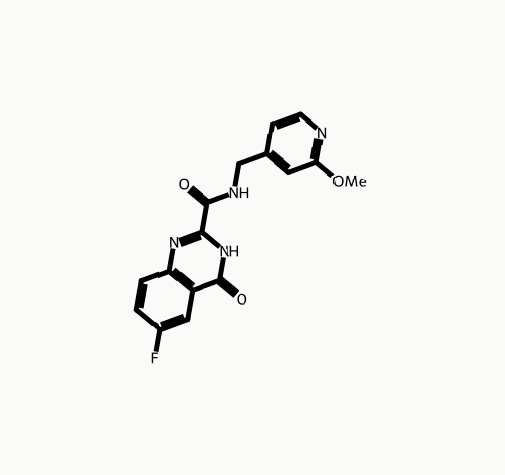 COc1cc(CNC(=O)c2nc3ccc(F)cc3c(=O)[nH]2)ccn1